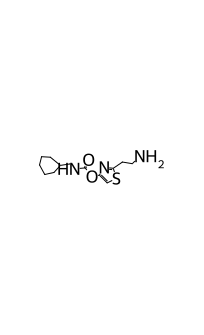 NCCc1nc(OC(=O)NCC2CCCCC2)cs1